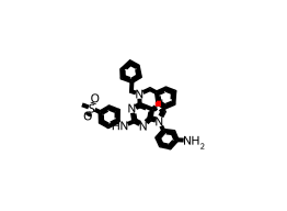 CS(=O)(=O)c1ccc(Nc2nc(N(Cc3ccccc3)Cc3ccccc3)c3ncn(-c4cccc(N)c4)c3n2)cc1